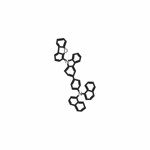 c1ccc2c(N(c3ccc(-c4ccc5c(c4)c4ccccc4n5-c4cccc5c4oc4ccccc45)cc3)c3cccc4ccccc34)cccc2c1